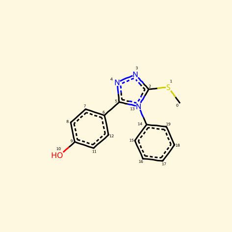 CSc1nnc(-c2ccc(O)cc2)n1-c1ccccc1